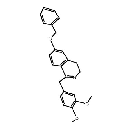 COc1ccc(CC2=NCCc3cc(OCc4ccccc4)ccc32)cc1OC